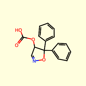 O=C(O)OC1C=NOC1(c1ccccc1)c1ccccc1